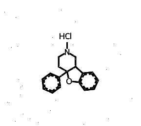 CN1CCC2(c3ccccc3)Oc3ccccc3C2C1.Cl